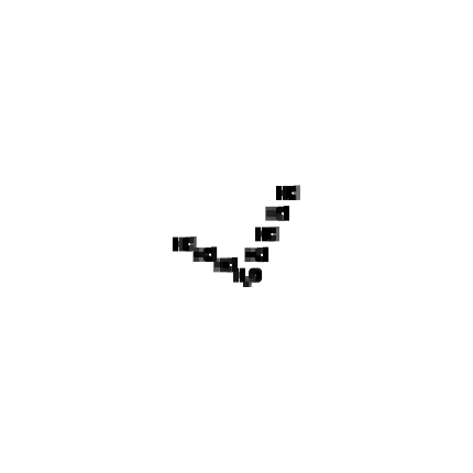 Cl.Cl.Cl.Cl.Cl.Cl.Cl.O